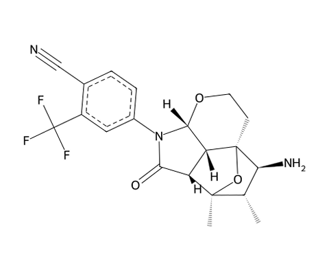 C[C@H]1[C@H](N)[C@]23CCO[C@@H]4[C@H]2[C@@H](C(=O)N4c2ccc(C#N)c(C(F)(F)F)c2)[C@@]1(C)O3